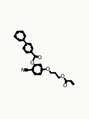 C=CC(=O)OCCCOc1ccc(C#N)c(OC(=O)c2ccc(-c3ccccc3)cc2)c1